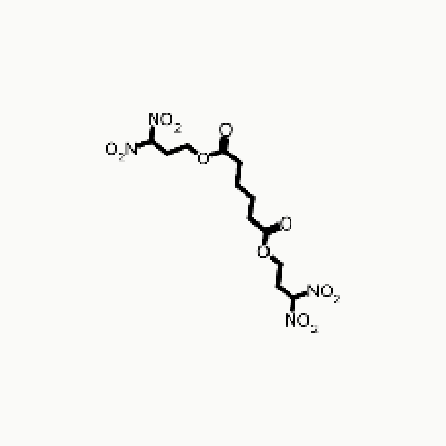 O=C(CCCCC(=O)OCCC([N+](=O)[O-])[N+](=O)[O-])OCCC([N+](=O)[O-])[N+](=O)[O-]